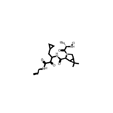 C=CCNC(=O)C(=O)C(CC1CC1)NC(=O)C1C2C(CN1C(=O)[C@@H](NCl)C(C)(C)C)C2(C)C